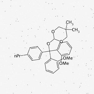 CCCc1ccc(C(OC2OCC(C)(C)CO2)(c2ccccc2OC)c2ccccc2OC)cc1